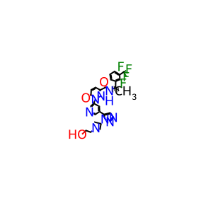 C[C@@H](NC(=O)c1ccc(=O)n(-c2cncc(-c3cnnn3C3CN(CCO)C3)c2)n1)c1cccc(C(F)(F)F)c1F